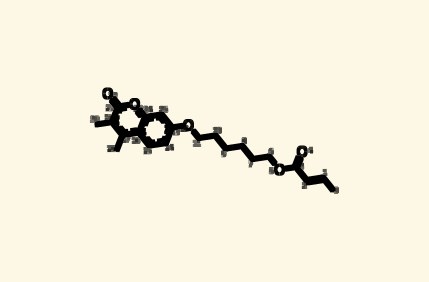 CC=CC(=O)OCCCCCCOc1ccc2c(C)c(C)c(=O)oc2c1